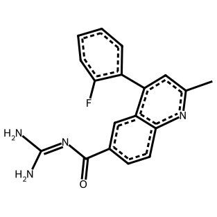 Cc1cc(-c2ccccc2F)c2cc(C(=O)N=C(N)N)ccc2n1